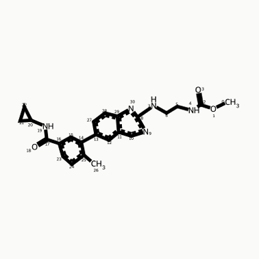 COC(=O)NCCNc1ncc2cc(-c3cc(C(=O)NC4CC4)ccc3C)ccc2n1